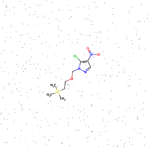 CS(C)(C)CCOCn1ncc([N+](=O)[O-])c1Cl